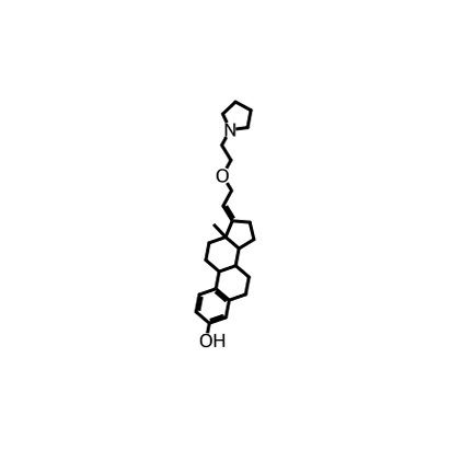 CC12CCC3c4ccc(O)cc4CCC3C1CC/C2=C\COCCN1CCCC1